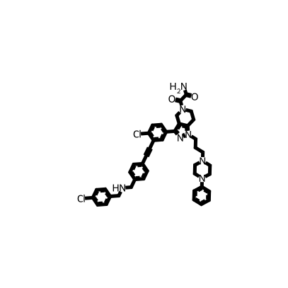 NC(=O)C(=O)N1CCc2c(c(-c3ccc(Cl)c(C#Cc4ccc(CNCc5ccc(Cl)cc5)cc4)c3)nn2CCCN2CCN(c3ccccc3)CC2)C1